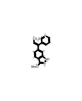 CCOC(=O)/C=C(\c1cccnc1)c1ccc2c(OC)n[nH]c2c1